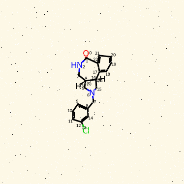 O=C1NC[C@H]2CN(Cc3cccc(Cl)c3)C[C@@H]2c2ccccc21